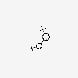 CC(C)(C)c1cccc(-c2ccc(C(C)(C)C)s2)c1